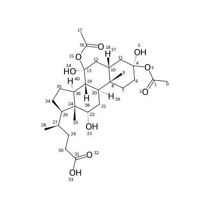 CC(=O)O[C@@]1(O)CC[C@@]2(C)[C@@H](C1)C[C@](O)(OC(C)=O)[C@@H]1[C@@H]2C[C@H](O)[C@]2(C)[C@@H]([C@H](C)CCC(=O)O)CC[C@@H]12